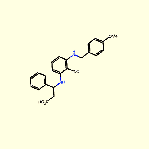 COc1ccc(CNc2cccc(NC(CC(=O)O)c3ccccc3)c2N=O)cc1